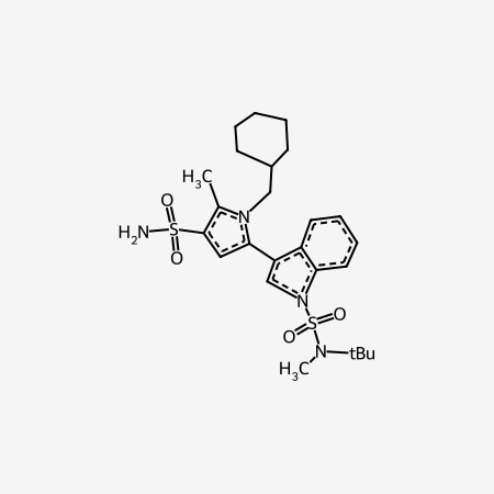 Cc1c(S(N)(=O)=O)cc(-c2cn(S(=O)(=O)N(C)C(C)(C)C)c3ccccc23)n1CC1CCCCC1